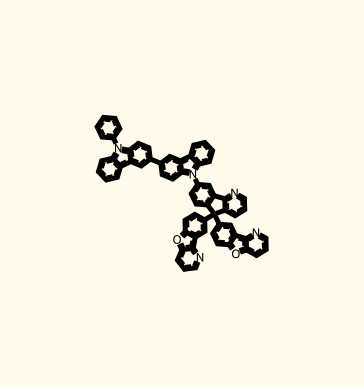 c1ccc(-n2c3ccccc3c3cc(-c4ccc5c(c4)c4ccccc4n5-c4ccc5c(c4)-c4ncccc4C5(c4ccc5oc6cccnc6c5c4)c4ccc5oc6cccnc6c5c4)ccc32)cc1